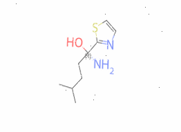 CC(C)CC[C@@](N)(O)c1nccs1